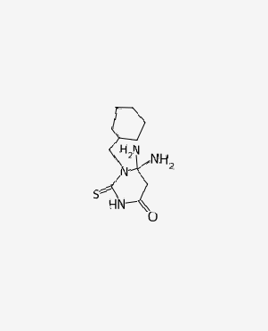 NC1(N)CC(=O)NC(=S)N1CC1CCCCC1